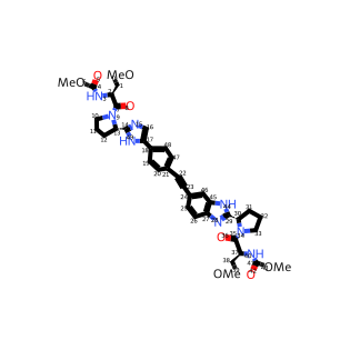 COC[C@H](NC(=O)OC)C(=O)N1CCC[C@H]1c1ncc(-c2ccc(C#Cc3ccc4nc([C@@H]5CCCN5C(=O)[C@H](COC)NC(=O)OC)[nH]c4c3)cc2)[nH]1